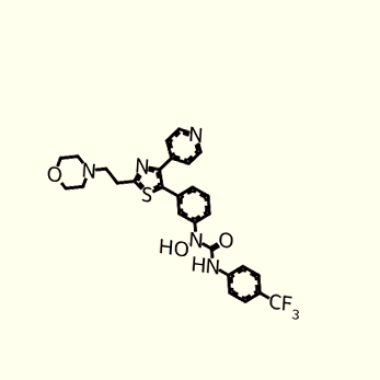 O=C(Nc1ccc(C(F)(F)F)cc1)N(O)c1cccc(-c2sc(CCN3CCOCC3)nc2-c2ccncc2)c1